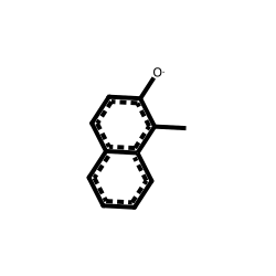 Cc1c([O])ccc2ccccc12